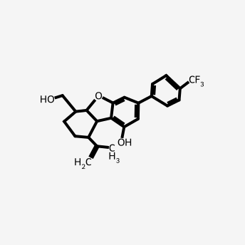 C=C(C)C1CCC(CO)C2Oc3cc(-c4ccc(C(F)(F)F)cc4)cc(O)c3C12